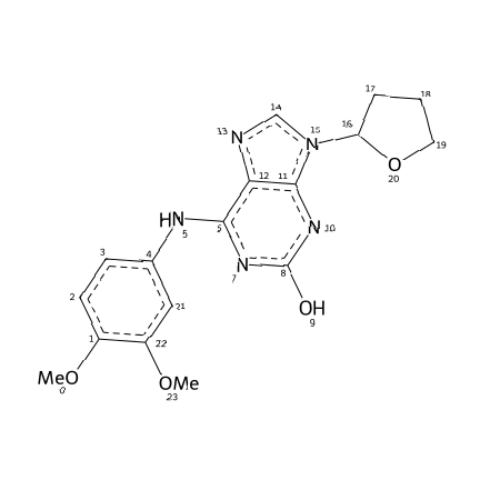 COc1ccc(Nc2nc(O)nc3c2ncn3C2CCCO2)cc1OC